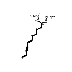 [CH]=CC#C/C=C/CCCCC(OCCCCCCC)OCCCCCCC